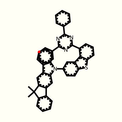 CC1(C)c2ccccc2-c2cc3c(cc21)c1ccccc1n3-c1ccc2sc3cccc(-c4nc(-c5ccccc5)nc(-c5ccccc5)n4)c3c2c1